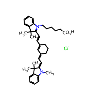 CN1/C(=C/C=C2C=C(/C=C/C3=[N+](CCCCCC(=O)O)c4ccccc4C3(C)C)CCC/2)C(C)(C)c2ccccc21.[Cl-]